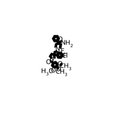 COc1cc(C(=O)N2CCC(CCN3CCC(C(N)=O)(c4ccccc4)CC3)(c3ccc(F)c(F)c3)C2)cc(OC)c1OC.Cl